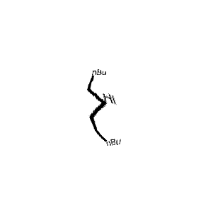 CCCCCCCCCCC.I